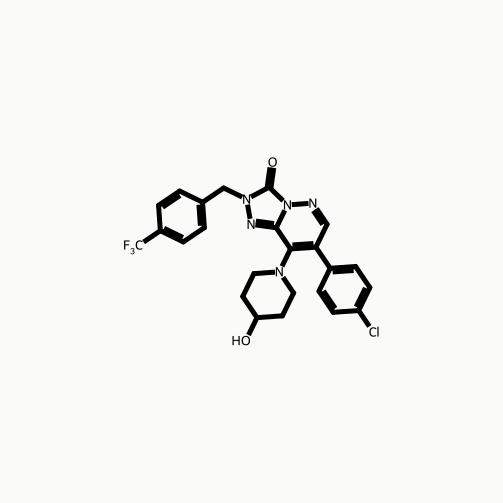 O=c1n(Cc2ccc(C(F)(F)F)cc2)nc2c(N3CCC(O)CC3)c(-c3ccc(Cl)cc3)cnn12